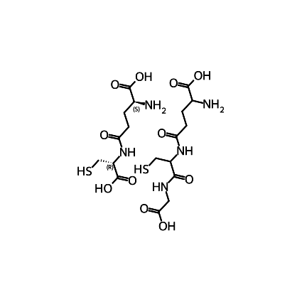 NC(CCC(=O)NC(CS)C(=O)NCC(=O)O)C(=O)O.N[C@@H](CCC(=O)N[C@@H](CS)C(=O)O)C(=O)O